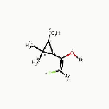 CCOC(=C(F)C(C)=O)C1C(C(=O)O)C1(C)C